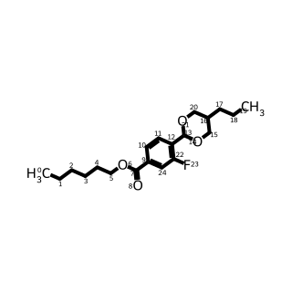 CCCCCCOC(=O)c1ccc(C2OCC(CCC)CO2)c(F)c1